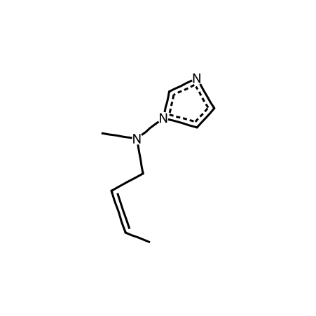 C/C=C\CN(C)n1ccnc1